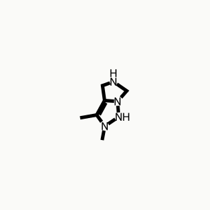 CC1=C2CNCN2NN1C